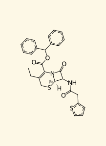 CCC1=C(C(=O)OC(c2ccccc2)c2ccccc2)N2C(=O)C(NC(=O)Cc3cccs3)[C@H]2SC1